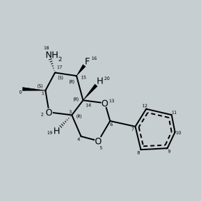 C[C@@H]1O[C@@H]2COC(c3ccccc3)O[C@H]2[C@H](F)[C@H]1N